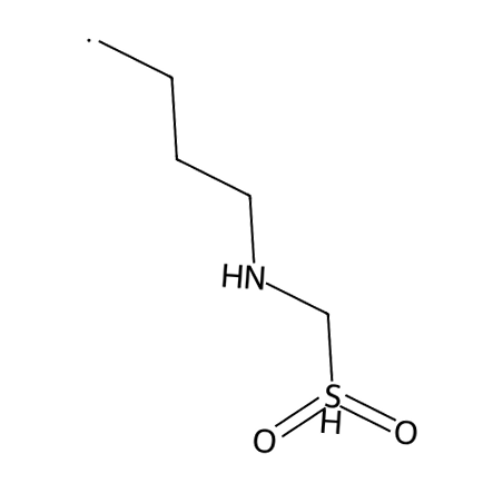 [CH2]CCCNC[SH](=O)=O